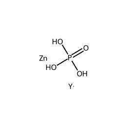 O=P(O)(O)O.[Y].[Zn]